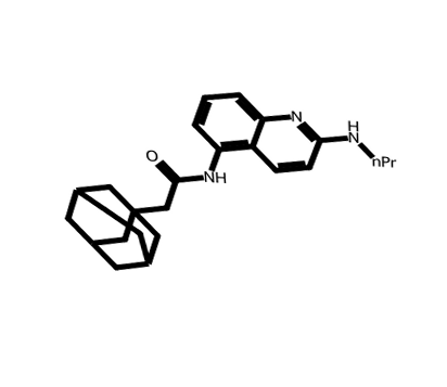 [CH2]CCNc1ccc2c(NC(=O)CC34CC5CC(CC(C5)C3)C4)cccc2n1